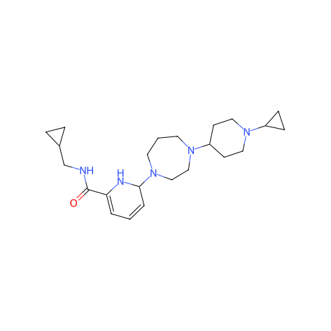 O=C(NCC1CC1)C1=CC=CC(N2CCCN(C3CCN(C4CC4)CC3)CC2)N1